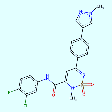 CN1C(C(=O)Nc2ccc(F)c(Cl)c2)=CC(c2ccc(-c3cnn(C)c3)cc2)=NS1(=O)=O